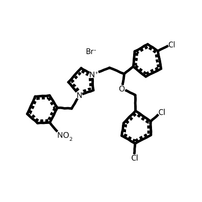 O=[N+]([O-])c1ccccc1Cn1cc[n+](CC(OCc2ccc(Cl)cc2Cl)c2ccc(Cl)cc2)c1.[Br-]